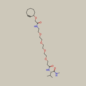 CNC(=O)[C@@H](NC(=O)CCOCCOCCOCCOCCNC(=O)COC1C#CCCCCC1)C(C)C